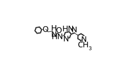 Cc1cc(-c2n[nH]c3cc(NC(=O)NCCOc4ccccc4)ncc23)ccn1